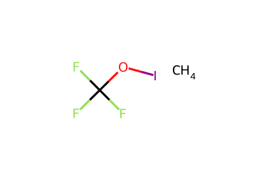 C.FC(F)(F)OI